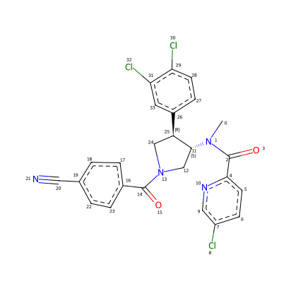 CN(C(=O)c1ccc(Cl)cn1)[C@@H]1CN(C(=O)c2ccc(C#N)cc2)C[C@H]1c1ccc(Cl)c(Cl)c1